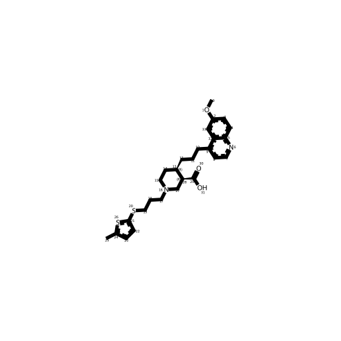 COc1ccc2nccc(CCC[C@@H]3CCN(CCCSc4ccc(C)s4)C[C@@H]3C(=O)O)c2c1